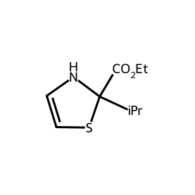 CCOC(=O)C1(C(C)C)NC=CS1